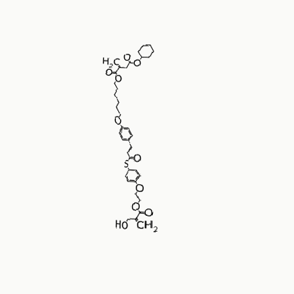 C=C(CO)C(=O)OCCOc1ccc(SC(=O)/C=C/c2ccc(OCCCCCCOC(=O)C(=C)CC(=O)OC3CCCCC3)cc2)cc1